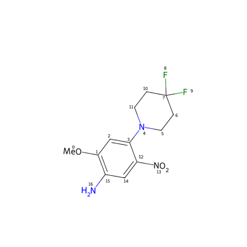 COc1cc(N2CCC(F)(F)CC2)c([N+](=O)[O-])cc1N